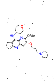 COc1nc2c(NC3CCOCC3)c3c(nc2cc1OCCCN1CCCC1)CCC3